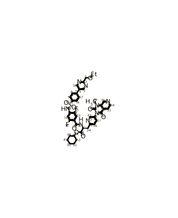 CCOCc1ncc(-c2ccc(S(=O)(=O)Nc3cc(F)c(C(=O)N[C@@H](Cc4ccc(-n5c(=O)c6ccncc6n(C)c5=O)cn4)C(=O)OC4CCCCC4)cc3F)cc2)cn1